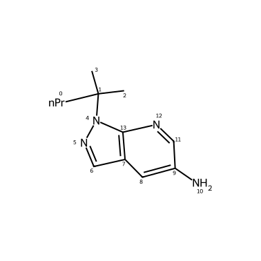 CCCC(C)(C)n1ncc2cc(N)cnc21